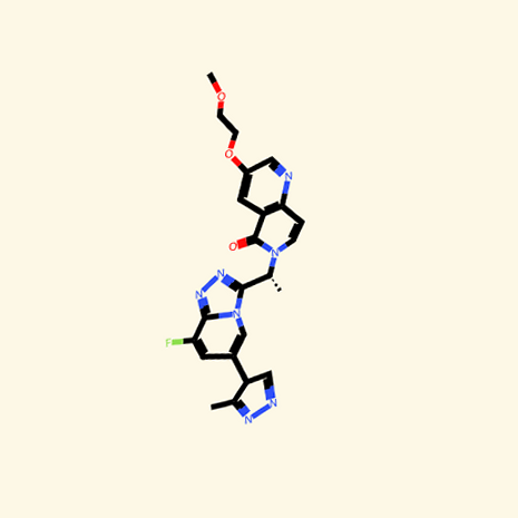 COCCOc1cnc2ccn([C@H](C)c3nnc4c(F)cc(C5C=NN=C5C)cn34)c(=O)c2c1